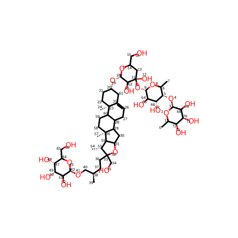 CC1O[C@@H](O[C@H]2C(C)O[C@@H](O[C@@]3(O)CC(CO)O[C@@H](O[C@H]4CC[C@@]5(C)C(=CCC6C7CC8OC(CO)(CC[C@@H](C)CO[C@@H]9OC(CO)[C@@H](O)[C@@H](O)C9O)[C@H](C)C8[C@@]7(C)CCC65)C4)C3O)C(O)[C@H]2O)C(O)[C@@H](O)[C@H]1O